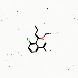 C=C(C)c1cccc(F)c1/C(=C/CC)OCC